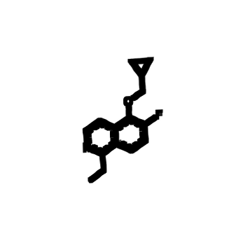 CCc1nccc2c(OCC3CC3)c(F)ccc12